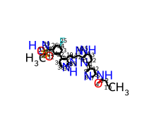 CCCC(=O)Nc1cncc(-c2ccc3[nH]nc(-c4cc5c(-c6cc(F)cc(C(N)S(C)(=O)=O)c6)ccnc5[nH]4)c3n2)c1